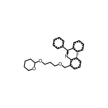 Fc1cccc(COCCCOC2CCCCO2)c1N=C(c1ccccc1)c1ccccc1